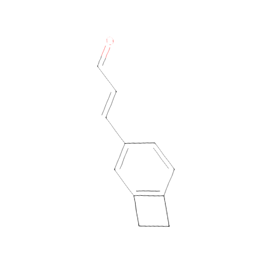 O=C/C=C/c1ccc2c(c1)CC2